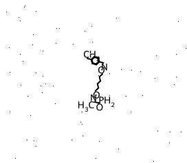 C=Cc1ccc(/C=N\OCCCCCCO/N=C(/C)C(=O)P)cc1